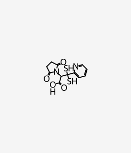 O=C(O)C(N1C(=O)CCC1=O)C(S)(S)c1ccccn1